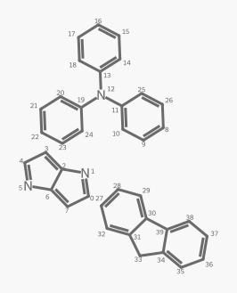 C1=NC2=CC=NC2=C1.c1ccc(N(c2ccccc2)c2ccccc2)cc1.c1ccc2c(c1)Cc1ccccc1-2